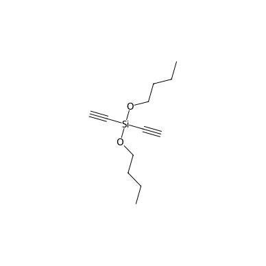 C#C[Si](C#C)(OCCCC)OCCCC